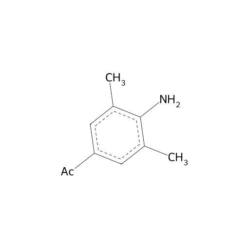 CC(=O)c1cc(C)c(N)c(C)c1